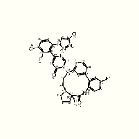 O=C1Nc2ccc(F)cc2-c2ccnc(c2)[C@@H](n2cnc(-c3c(-n4cc(Cl)nn4)ccc(Cl)c3F)cc2=O)CCN2CCC[C@@H]12